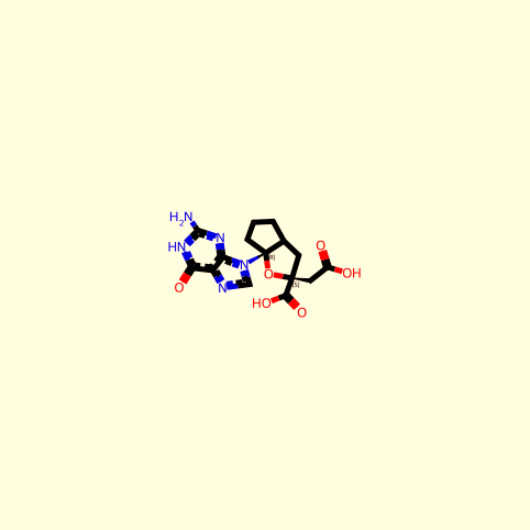 Nc1nc2c(ncn2[C@@]23CCCC2C[C@](CC(=O)O)(C(=O)O)O3)c(=O)[nH]1